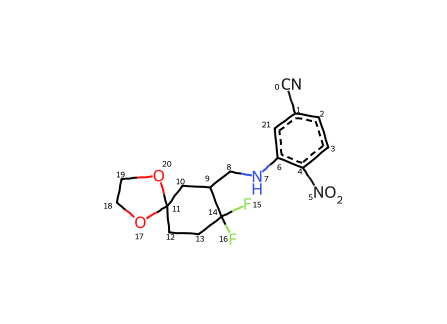 N#Cc1ccc([N+](=O)[O-])c(NCC2CC3(CCC2(F)F)OCCO3)c1